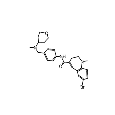 CN1CCC(C(=O)Nc2ccc(CN(C)C3CCOCC3)cc2)=Cc2cc(Br)ccc21